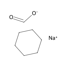 C1CCCCC1.O=C[O-].[Na+]